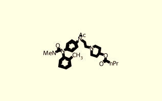 CCCC(=O)OC1CCN(CCN(C(C)=O)c2ccc(N(C(=O)NC)c3ccccc3C)cc2)CC1